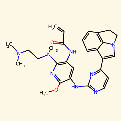 C=CC(=O)Nc1cc(Nc2nccc(-c3cn4c5c(cccc35)CC4)n2)c(OC)nc1N(C)CCN(C)C